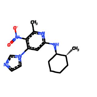 Cc1nc(N[C@@H]2CCCC[C@H]2C)cc(-n2ccnc2)c1[N+](=O)[O-]